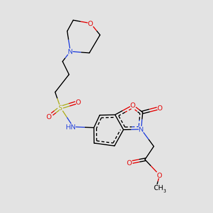 COC(=O)Cn1c(=O)oc2cc(NS(=O)(=O)CCCN3CCOCC3)ccc21